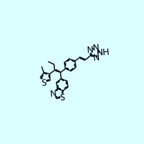 CCC(=C(c1ccc(C=Cc2nn[nH]n2)cc1)c1ccc2scnc2c1)c1cscc1C